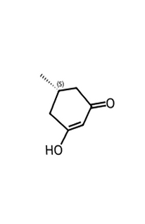 C[C@@H]1CC(=O)C=C(O)C1